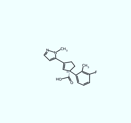 Cc1c(F)cccc1[C@@]1(C(=O)O)C=C(c2ccnn2C)CC1